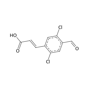 O=Cc1cc(Cl)c(C=CC(=O)O)cc1Cl